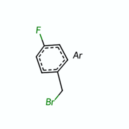 Fc1ccc(CBr)cc1.[Ar]